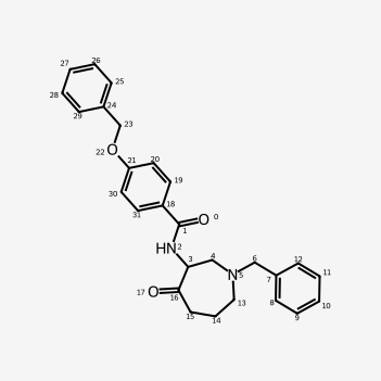 O=C(NC1CN(Cc2ccccc2)CCCC1=O)c1ccc(OCc2ccccc2)cc1